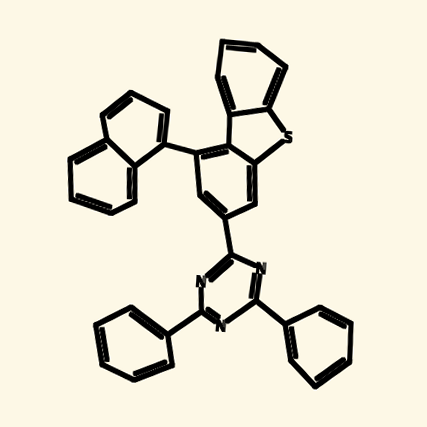 c1ccc(-c2nc(-c3ccccc3)nc(-c3cc(-c4cccc5ccccc45)c4c(c3)sc3ccccc34)n2)cc1